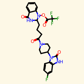 O=C1NC(CCCC(=O)N2CCC(n3c(=O)[nH]c4cc(F)ccc43)CC2)N(OC(=O)C(F)(F)F)c2ccccc21